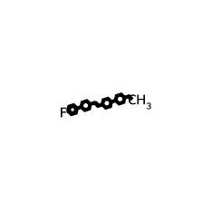 CCC1CCC(C2CCC(/C=C/C3CCC(c4ccc(F)cc4)CC3)CC2)CC1